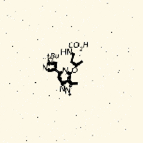 Cc1c2c(OC(C)CCNC(=O)O)nc(-c3cnn(C(C)(C)C)c3)cc2nn1C